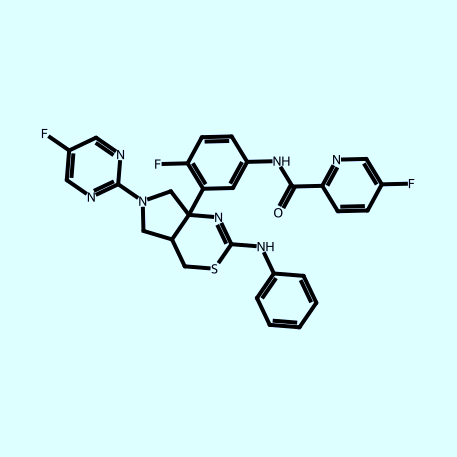 O=C(Nc1ccc(F)c(C23CN(c4ncc(F)cn4)CC2CSC(Nc2ccccc2)=N3)c1)c1ccc(F)cn1